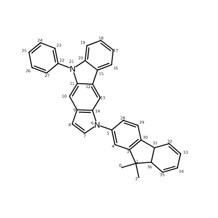 CC1(C)c2cc(-n3ccc4cc5c(cc43)c3ccccc3n5-c3ccccc3)ccc2C2C=CC=CC21